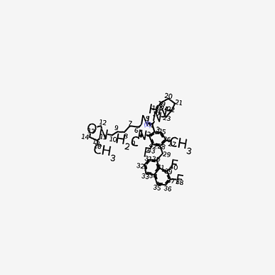 C=Nc1c(/C(=N\CCCCCN2COCC2C)N2CC3CCC(C2)N3)cc(C)c(Cc2cccc3ccc(F)c(F)c23)c1F